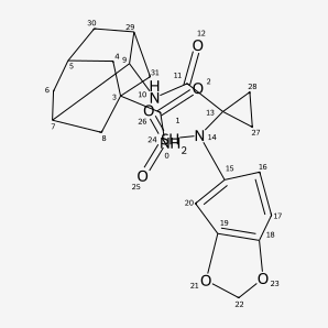 NC(=O)C12CC3CC(C1)C(NC(=O)C1(N(c4ccc5c(c4)OCO5)[SH](=O)=O)CC1)C(C3)C2